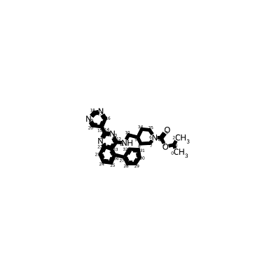 CC(C)OC(=O)N1CCC(CNc2nc(-c3cncnc3)nc3cccc(-c4ccccc4)c23)CC1